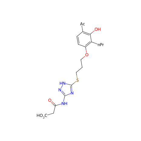 CCCc1c(OCCCSc2nc(NC(=O)CC(=O)O)n[nH]2)ccc(C(C)=O)c1O